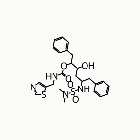 CN(C)S(=O)(=O)NC(Cc1ccccc1)CC(O)C(Cc1ccccc1)OC(=O)NCc1cncs1